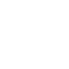 C=C.O=S1(=O)OS(=O)(=O)O1